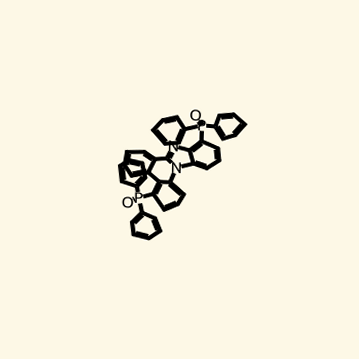 O=P(c1ccccc1)(c1ccccc1)c1cccc2c1nc1c3ccccc3c3c(P(=O)(c4ccccc4)c4ccccc4)cccc3n21